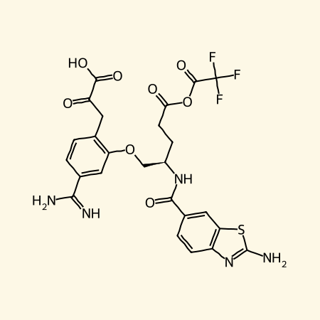 N=C(N)c1ccc(CC(=O)C(=O)O)c(OC[C@@H](CCC(=O)OC(=O)C(F)(F)F)NC(=O)c2ccc3nc(N)sc3c2)c1